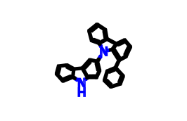 c1ccc(-c2cccc3c4ccccc4n(-c4ccc5[nH]c6ccccc6c5c4)c23)cc1